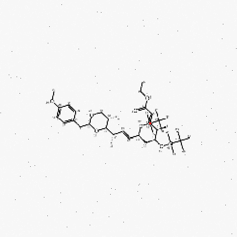 CCOC(=O)C=C[C@@H](C)[C@H](C[C@@H](C=C[C@H](C)C1OC(Cc2ccc(OC)cc2)OC[C@@H]1C)O[Si](C)(C)C(C)(C)C)O[Si](C)(C)C(C)(C)C